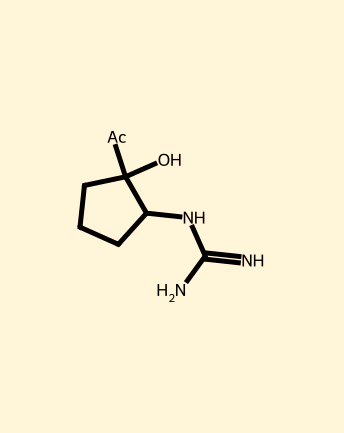 CC(=O)C1(O)CCCC1NC(=N)N